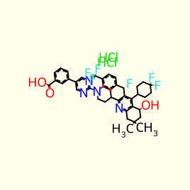 CC1(C)Cc2nc(C3CCN(c4ncc(-c5cccc(C(=O)O)c5)cn4)CC3)c([C@@H](F)c3ccc(C(F)(F)F)cc3)c(C3CCC(F)(F)CC3)c2[C@@H](O)C1.Cl.Cl